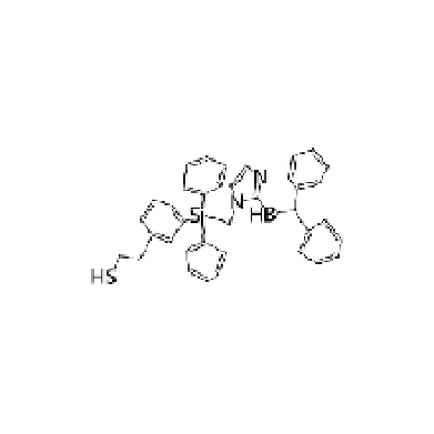 SCCc1cccc([Si](Cn2ccnc2BC(c2ccccc2)c2ccccc2)(c2ccccc2)c2ccccc2)c1